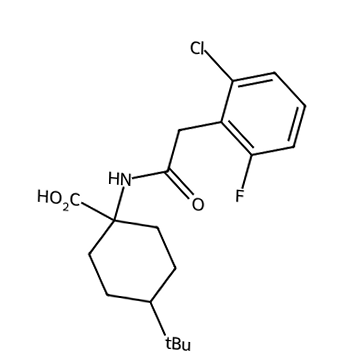 CC(C)(C)C1CCC(NC(=O)Cc2c(F)cccc2Cl)(C(=O)O)CC1